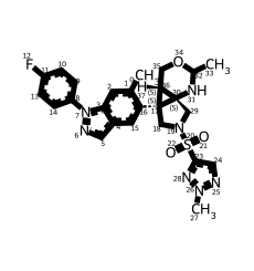 Cc1cc2c(cnn2-c2ccc(F)cc2)cc1[C@@]12CN(S(=O)(=O)c3cnn(C)n3)C[C@@]13NC(C)OC[C@H]32